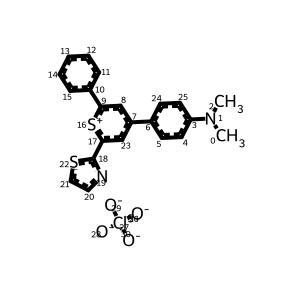 CN(C)c1ccc(-c2cc(-c3ccccc3)[s+]c(-c3nccs3)c2)cc1.[O-][Cl+3]([O-])([O-])[O-]